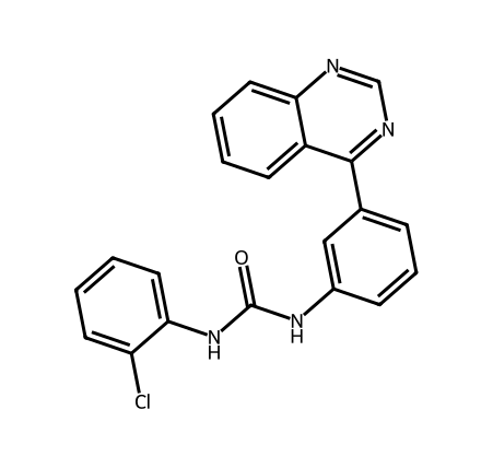 O=C(Nc1cccc(-c2ncnc3ccccc23)c1)Nc1ccccc1Cl